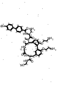 CCCCc1ccc(-c2ccc(C(=O)N[C@@H](CN)C(=O)N(C)[C@@H]3C(=O)N[C@@H](C)C(=O)N[C@H](C(=O)NCC#N)Cc4ccc(OCCN)c(c4)-c4cc3ccc4OCCN)cc2)cc1